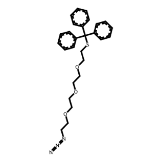 [N-]=[N+]=NCCOCCOCCOCCSC(c1ccccc1)(c1ccccc1)c1ccccc1